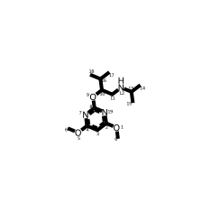 COc1cc(OC)nc(OC(CNC(C)C)C(C)C)n1